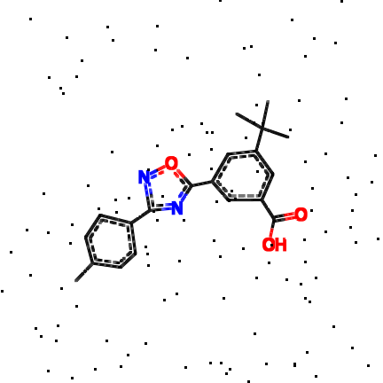 Cc1ccc(-c2noc(-c3cc(C(=O)O)cc(C(C)(C)C)c3)n2)cc1